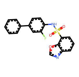 O=S(=O)(Nc1ccc(-c2ccccc2)cc1F)c1cccc2ncoc12